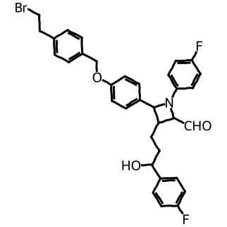 O=CC1C(CCC(O)c2ccc(F)cc2)C(c2ccc(OCc3ccc(CCBr)cc3)cc2)N1c1ccc(F)cc1